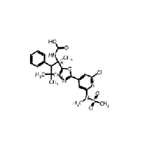 CN(c1cc(-c2nnc([C@](C)(NC(=O)O)C(c3ccccc3)C(C)(C)C)o2)cc(Cl)n1)S(C)(=O)=O